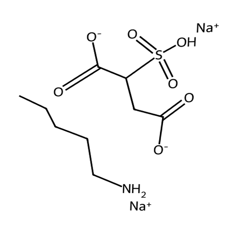 CCCCCN.O=C([O-])CC(C(=O)[O-])S(=O)(=O)O.[Na+].[Na+]